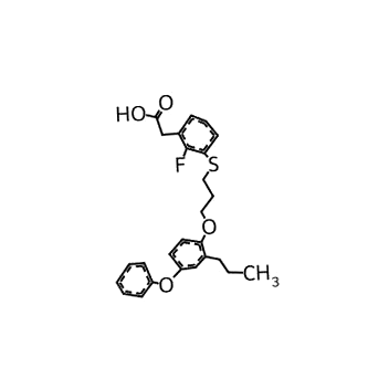 CCCc1cc(Oc2ccccc2)ccc1OCCCSc1cccc(CC(=O)O)c1F